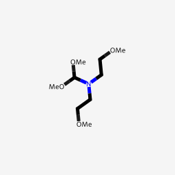 COCCN(CCOC)C(OC)OC